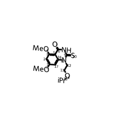 COc1cc(OC)c2c(=O)[nH]c(=S)n(CCOC(C)C)c2c1